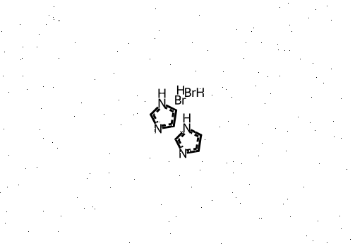 Br.Br.c1c[nH]cn1.c1c[nH]cn1